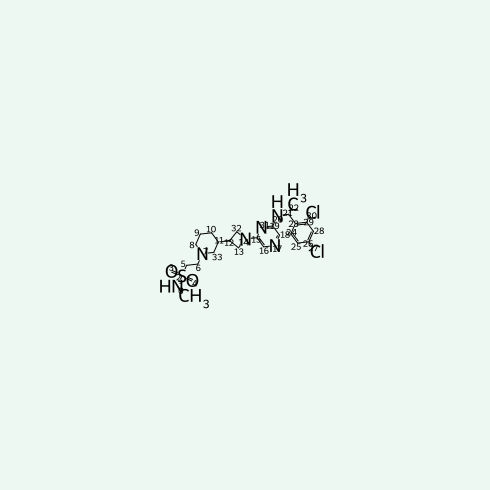 CNS(=O)(=O)CCN1CCC[C@@H](C2CN(c3cncc(N[C@H](C)c4ccc(Cl)cc4Cl)n3)C2)C1